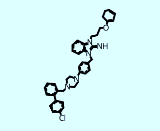 N=c1n(CCCOC2=CC=CCC2)c2ccccc2n1Cc1ccc(N2CCN(Cc3ccccc3-c3ccc(Cl)cc3)CC2)cc1